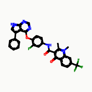 Cc1c(C(=O)Nc2ccc(Oc3ncnc4[nH]cc(-c5ccccc5)c34)c(F)c2)c(=O)c2ccc(C(F)(F)F)cc2n1C